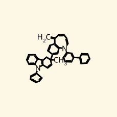 C=C1/C=C\C=C/N(c2cccc(-c3ccccc3)c2)c2cc(C3(C)C=Cc4c(c5ccccc5n4-c4ccccc4)C3)ccc21